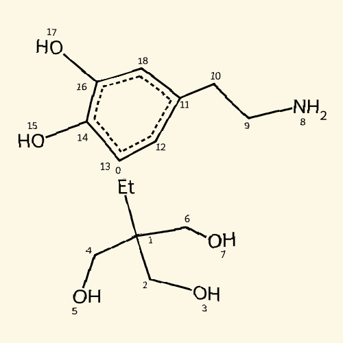 CCC(CO)(CO)CO.NCCc1ccc(O)c(O)c1